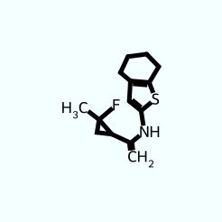 C=C(Nc1cc2c(s1)CCCC2)C1CC1(C)F